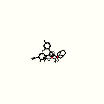 Cc1ccc(-c2sc(C(=O)N3C4CCC3CC(NC(=O)OC(C)(C)C)C4)cc2-c2ccc(C#N)c(F)c2)c(F)c1